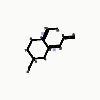 C=C/C=C1/CN(I)CC/C1=C/C